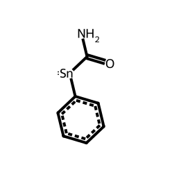 N[C](=O)[Sn][c]1ccccc1